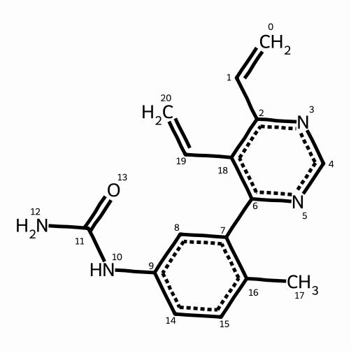 C=Cc1ncnc(-c2cc(NC(N)=O)ccc2C)c1C=C